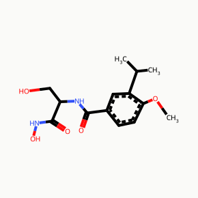 COc1ccc(C(=O)NC(CO)C(=O)NO)cc1C(C)C